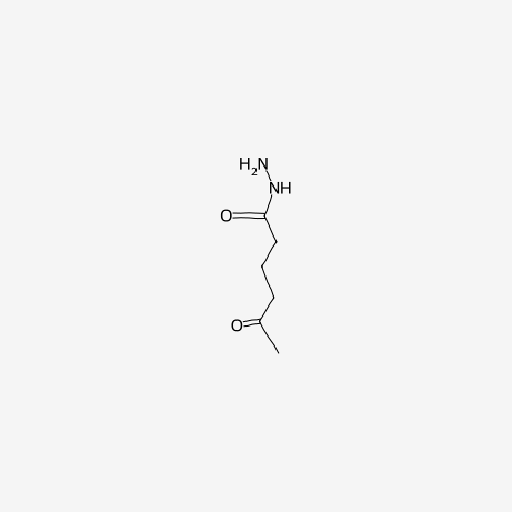 CC(=O)CCCC(=O)NN